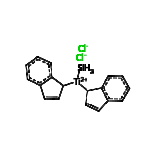 [Cl-].[Cl-].[SiH3][Ti+2]([CH]1C=Cc2ccccc21)[CH]1C=Cc2ccccc21